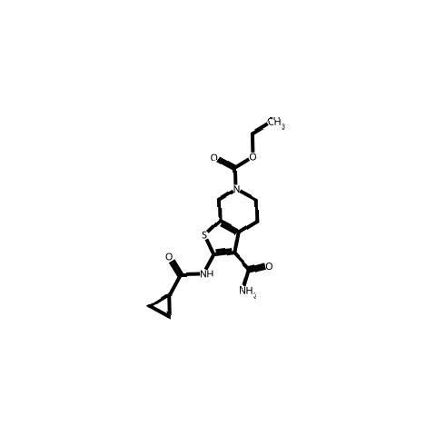 CCOC(=O)N1CCc2c(sc(NC(=O)C3CC3)c2C(N)=O)C1